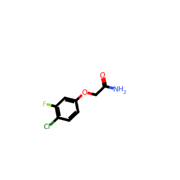 NC(=O)COc1ccc(Cl)c(F)c1